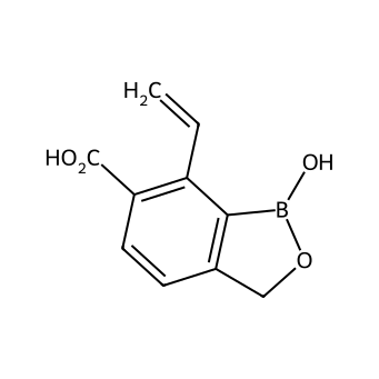 C=Cc1c(C(=O)O)ccc2c1B(O)OC2